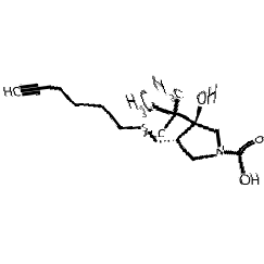 C#CCCCCSC[C@H]1CN(C(=O)O)C[C@@]1(O)C(C)(C)C